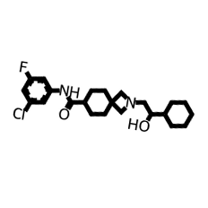 O=C(Nc1cc(F)cc(Cl)c1)C1CCC2(CC1)CN(CC(O)C1CCCCC1)C2